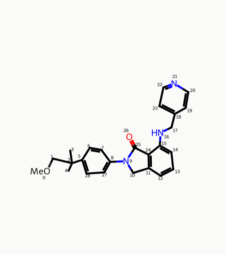 COCC(C)(C)c1ccc(N2Cc3cccc(NCc4ccncc4)c3C2=O)cc1